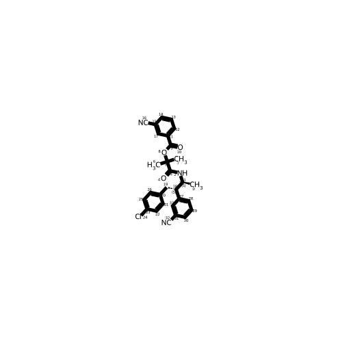 C[C@H](NC(=O)C(C)(C)OC(=O)c1cccc(C#N)c1)[C@@H](Cc1ccc(Cl)cc1)c1cccc(C#N)c1